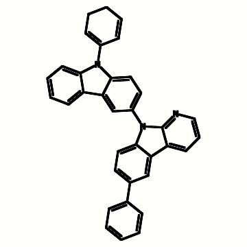 C1=CC(n2c3ccccc3c3cc(-n4c5ccc(-c6ccccc6)cc5c5cccnc54)ccc32)=CCC1